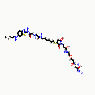 CCCN[C@H]1CCc2nc(NC(=O)CNCC(=O)NCCCCCCSC3CC(=O)N(CCC(=O)NCCOCCC(=O)NCC(N)=O)C3=O)sc2C1